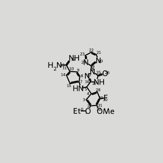 CCOc1cc(C(Nc2ccc(C(=N)N)cc2)c2nn(-c3ncccn3)c(=O)[nH]2)cc(F)c1OC